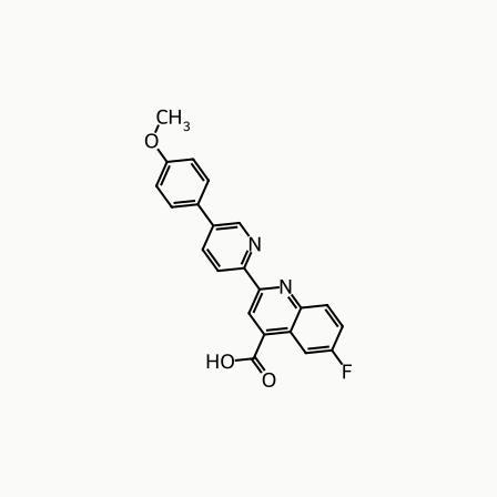 COc1ccc(-c2ccc(-c3cc(C(=O)O)c4cc(F)ccc4n3)nc2)cc1